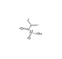 C=C(C)C(=O)[PH](=O)O